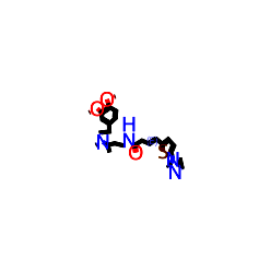 COc1ccc(CCN(C)C(C)CCNC(=O)C/C=C/c2ccc(-n3ccnc3)s2)cc1OC